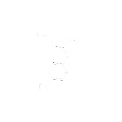 CC(=O)SC/C(=C\c1ccc(C(F)(F)F)cc1)C(=O)O